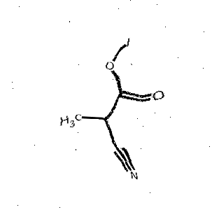 CC(C#N)C(=O)OI